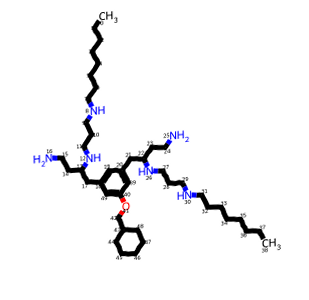 CCCCCCCCNCCCNC(CCN)Cc1cc(CC(CCN)NCCCNCCCCCCCC)cc(OCC2CCCCC2)c1